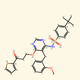 COc1ccccc1Cc1c(NS(=O)(=O)c2ccc(C(C)(C)C)cc2)ncnc1OCCC(=O)c1cccs1